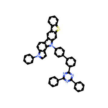 c1ccc(-c2nc(-c3ccccc3)nc(-c3cccc(-c4ccc(-n5c6cc7sc8ccccc8c7cc6c6ccc7c(ccn7-c7ccccc7)c65)cc4)c3)n2)cc1